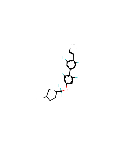 CCCC1CCC(C(F)(F)Oc2cc(F)c(-c3cc(F)c(/C=C/C(F)(F)F)c(F)c3)c(F)c2)CC1